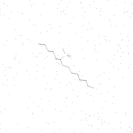 Br.CCCCCCCCCCCCCCCCCC(CCCCCCCCCCCCCC)N(C)C